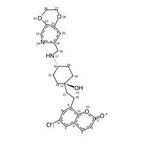 O=c1ccc2cc(Cl)cc(CC[C@]3(O)CC[C@H](NCc4cc5c(cn4)OCCO5)CC3)c2o1